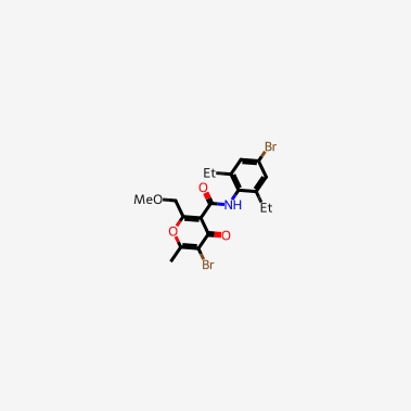 CCc1cc(Br)cc(CC)c1NC(=O)c1c(COC)oc(C)c(Br)c1=O